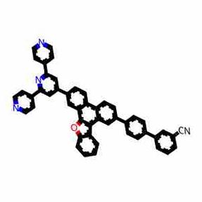 N#Cc1cccc(-c2ccc(-c3ccc4c5ccc(-c6cc(-c7ccncc7)nc(-c7ccncc7)c6)cc5c5oc6ccccc6c5c4c3)cc2)c1